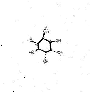 OC1C(O)[C@H](O)[C@H](O)C(O)[C@H]1O